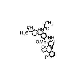 C=CC(=O)Nc1cc(Nc2cc(N3OCCC3c3c(F)cccc3F)ncn2)c(OC)cc1N1CCC(N(C)C)CC1